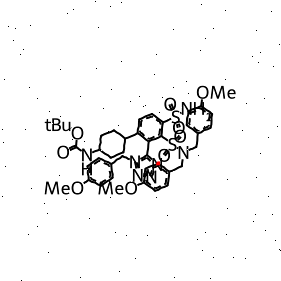 COc1ccc(CN(Cc2ccc(OC)cc2)S(=O)(=O)c2c(S(N)(=O)=O)ccc(C3CCC(NC(=O)OC(C)(C)C)CC3)c2-c2nnnn2Cc2ccc(OC)cc2)cc1